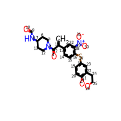 C=C(C(=O)N1CCC(NC=O)CC1)c1ccc(Sc2ccc3c(c2)CCOO3)c([N+](=O)[O-])c1